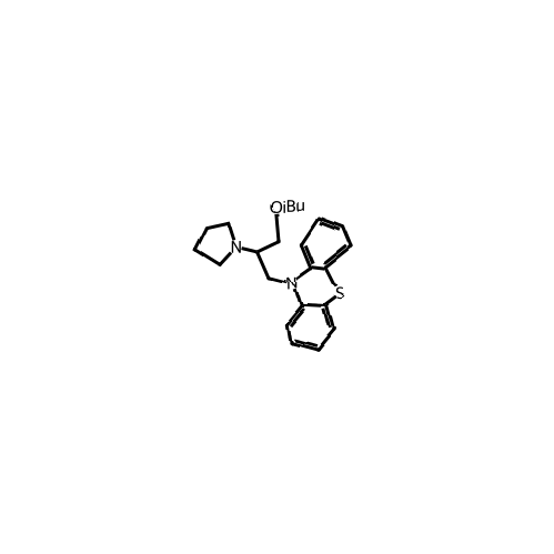 CC(C)COCC(CN1c2ccccc2Sc2ccccc21)N1CCCC1